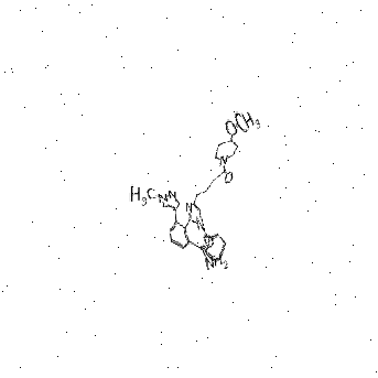 COC1CCN(C(=O)CCCc2cn(-c3ccccc3)c(-c3c(C(N)=O)cccc3-c3cnn(C)c3)n2)CC1